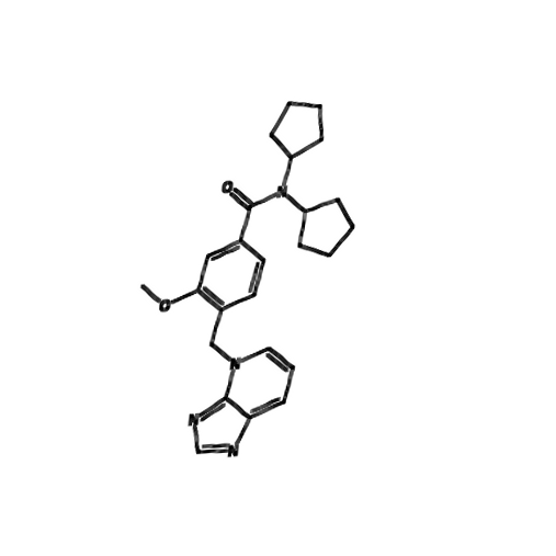 COc1cc(C(=O)N(C2CCCC2)C2CCCC2)ccc1Cn1cccc2ncnc1-2